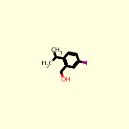 CC(C)c1ccc(I)cc1CO